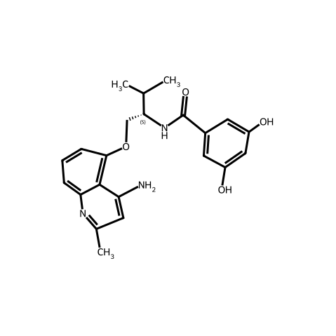 Cc1cc(N)c2c(OC[C@@H](NC(=O)c3cc(O)cc(O)c3)C(C)C)cccc2n1